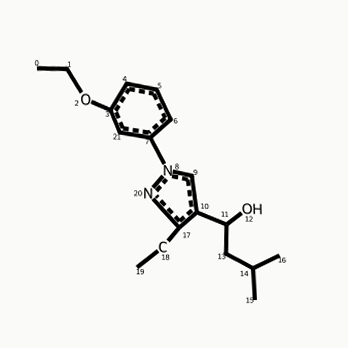 CCOc1cccc(-n2cc(C(O)CC(C)C)c(CC)n2)c1